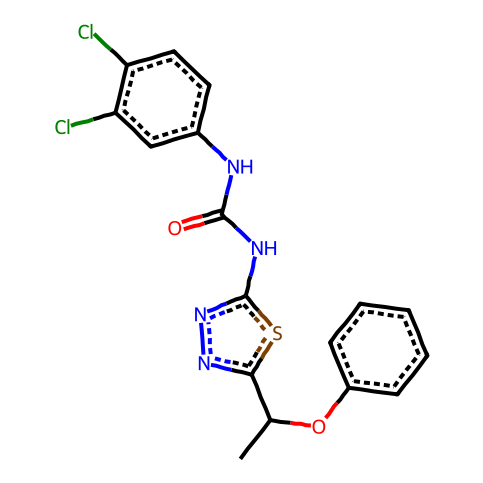 CC(Oc1ccccc1)c1nnc(NC(=O)Nc2ccc(Cl)c(Cl)c2)s1